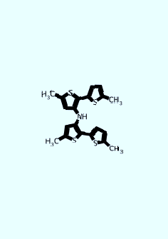 Cc1ccc(-c2sc(C)cc2Nc2cc(C)sc2-c2ccc(C)s2)s1